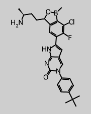 CB1OC(CC[C@H](C)N)c2cc(-c3cc4cn(-c5ccc(C(C)(C)C)cc5)c(=O)nc4[nH]3)c(F)c(Cl)c21